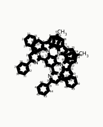 Cc1ccc2c(c1)c1ccccc1n2-c1c(-c2nc(-c3ccccc3)cc(-c3ccccc3)n2)cc(-c2nc(-c3ccccc3)cc(-c3ccccc3)n2)c(-n2c3ccccc3c3cc(C)ccc32)c1-n1c2ccccc2c2ccccc21